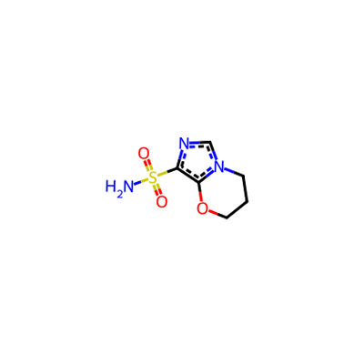 NS(=O)(=O)c1ncn2c1OCCC2